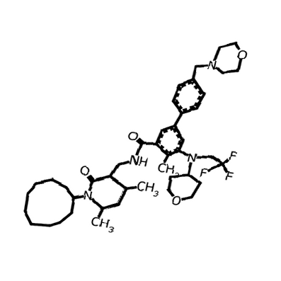 Cc1c(C(=O)NCC2C(=O)N(C3CCCCCCCCC3)C(C)CC2C)cc(-c2ccc(CN3CCOCC3)cc2)cc1N(CC(F)(F)F)C1CCOCC1